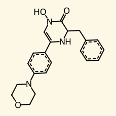 O=C1C(Cc2ccccc2)NC(c2ccc(N3CCOCC3)cc2)=CN1O